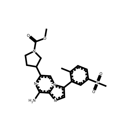 COC(=O)N1CCC(c2cn3c(-c4cc(S(C)(=O)=O)ccc4C)cnc3c(N)n2)C1